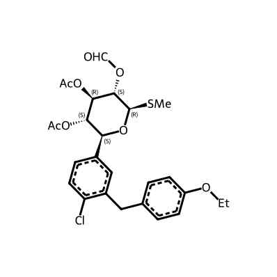 CCOc1ccc(Cc2cc([C@@H]3O[C@H](SC)[C@@H](OC=O)[C@H](OC(C)=O)[C@H]3OC(C)=O)ccc2Cl)cc1